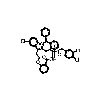 O=C(O)c1ccccc1OCCc1c(CCNS(=O)(=O)Cc2ccc(Cl)c(Cl)c2)n(C(c2ccccc2)c2ccccc2)c2ccc(Cl)cc12